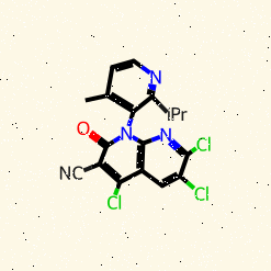 Cc1ccnc(C(C)C)c1-n1c(=O)c(C#N)c(Cl)c2cc(Cl)c(Cl)nc21